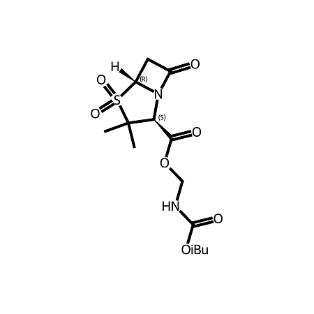 CC(C)COC(=O)NCOC(=O)[C@@H]1N2C(=O)C[C@H]2S(=O)(=O)C1(C)C